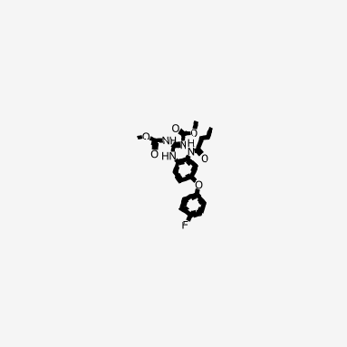 CCCC(=O)Nc1cc(Oc2ccc(F)cc2)ccc1NC(=NC(=O)OC)NC(=O)OC